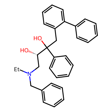 CCN(Cc1ccccc1)C[C@H](O)C(O)(Cc1ccccc1-c1ccccc1)c1ccccc1